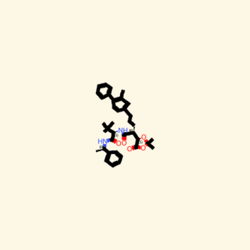 Cc1cc(CCC[C@@H](C(=O)N[C@H](C(=O)N[C@H](C)c2ccccc2)C(C)(C)C)[C@@H]2OC(C)(C)OC2=O)ccc1-c1ccccc1